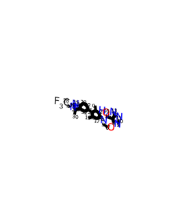 Cc1cc(N2CCOc3ncnc(N)c3C2=O)cc(C)c1-c1ccc2nn(CC(F)(F)F)c(C)c2c1